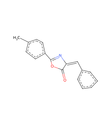 Cc1ccc(C2=NC(=Cc3ccccc3)C(=O)O2)cc1